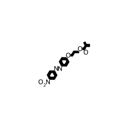 C=C(C)C(=O)OCCCOc1ccc(N=Nc2ccc([N+](=O)[O-])cc2)cc1